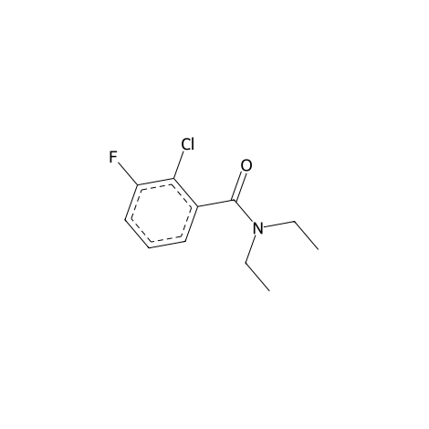 CCN(CC)C(=O)c1cccc(F)c1Cl